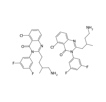 CC(CCN)Cc1nc2cccc(Cl)c2c(=O)n1-c1cc(F)cc(F)c1.CC(CN)CCc1nc2cccc(Cl)c2c(=O)n1-c1cc(F)cc(F)c1